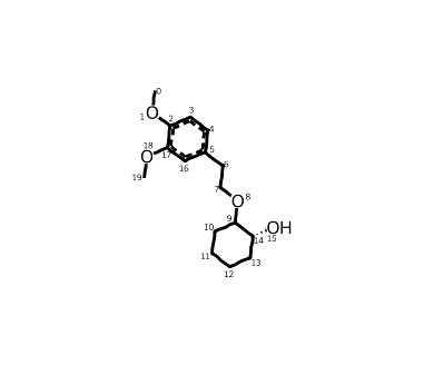 COc1ccc(CCOC2CCCC[C@H]2O)cc1OC